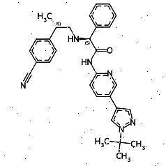 C[C@H](CN[C@H](C(=O)Nc1ccc(-c2cnn(C(C)(C)C)c2)cn1)c1ccccc1)c1ccc(C#N)cc1